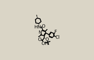 Cc1nc(C(=O)N[C@H]2CC[C@H](C)CC2)c(C)c(-c2ccc(Cl)c(F)c2)c1[C@H](OC(C)(C)C)C(=O)O